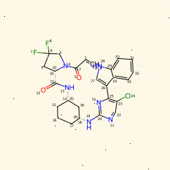 C=CC(=O)N1CC(F)(F)C[C@H]1C(=O)N[C@H]1CCC[C@@H](Nc2ncc(Cl)c(-c3c[nH]c4ccccc34)n2)C1